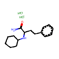 Cl.Cl.NC(=O)C(CCc1ccccc1)NC1CCCCC1